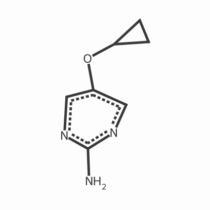 Nc1ncc(OC2CC2)cn1